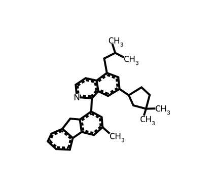 Cc1cc2c(c(-c3nccc4c(CC(C)C)cc(C5CCC(C)(C)C5)cc34)c1)Cc1ccccc1-2